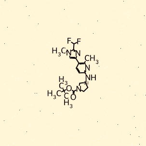 Cc1nc(N[C@H]2CCN(C(=O)OC(C)(C)C)C2)ccc1-c1cn(C)c(C(F)F)n1